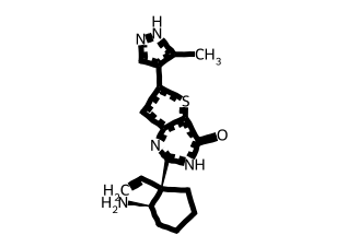 C=C[C@]1(c2nc3cc(-c4cn[nH]c4C)sc3c(=O)[nH]2)CCCC[C@H]1N